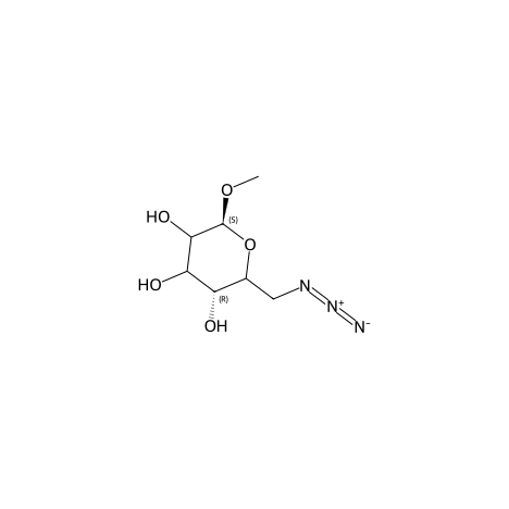 CO[C@H]1OC(CN=[N+]=[N-])[C@H](O)C(O)C1O